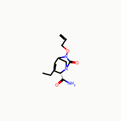 C=CCON1C(=O)N2CC1C=C(CC)[C@H]2C(N)=O